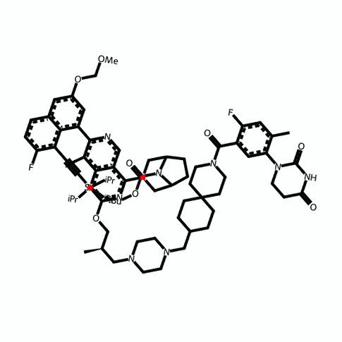 COCOc1cc(-c2ncc3c(N4CC5CCC(C4)N5C(=O)OC(C)(C)C)nc(OC[C@H](C)CN4CCN(CC5CCC6(CC5)CCN(C(=O)c5cc(N7CCC(=O)NC7=O)c(C)cc5F)CC6)CC4)nc3c2F)c2c(C#C[Si](C(C)C)(C(C)C)C(C)C)c(F)ccc2c1